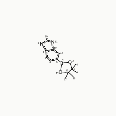 CC1(C)OB(c2ccc3nsnc3c2)OC1(C)C